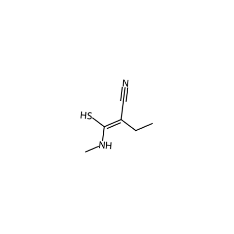 CC/C(C#N)=C(/S)NC